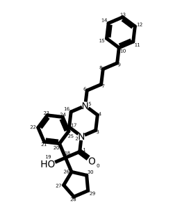 O=C(N1CCN(CCCCc2ccccc2)CC1)C(O)(c1ccccc1)C1CCCC1